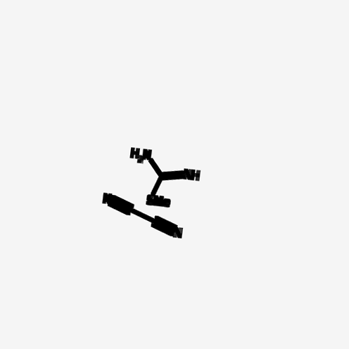 CSC(=N)N.N#CC#N